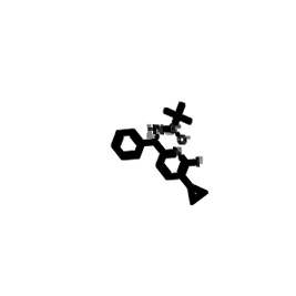 CC(C)(C)[S@+]([O-])N[C@@H](c1ccccc1)c1ccc(C2CC2)c(F)n1